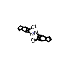 ClC1C2CC(C3C=CCC32)C1/N=N/C1C(Cl)C2CC1C1C=CCC12